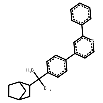 BC(B)(c1ccc(-c2ccnc(-c3ccccc3)c2)cc1)C1CC2CCC1C2